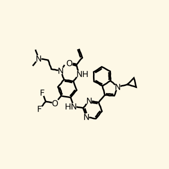 C=CC(=O)Nc1cc(Nc2nccc(-c3cn(C4CC4)c4ccccc34)n2)c(OC(F)F)cc1N(C)CCN(C)C